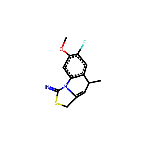 COc1cc2c(cc1F)C(C)C=C1CSC(=N)N12